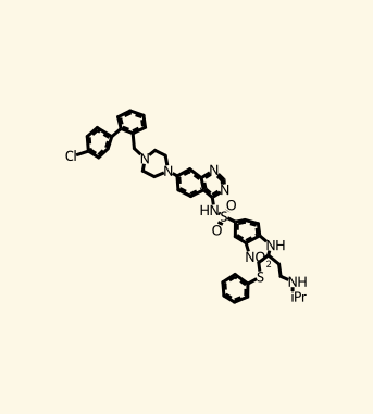 CC(C)NCCC(CSc1ccccc1)Nc1ccc(S(=O)(=O)Nc2ncnc3cc(N4CCN(Cc5ccccc5-c5ccc(Cl)cc5)CC4)ccc23)cc1[N+](=O)[O-]